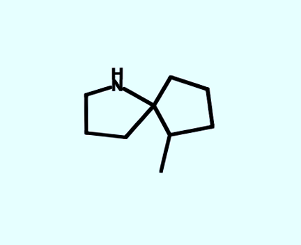 CC1CCCC12CCCN2